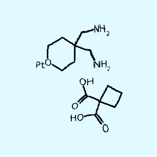 NCC1(CN)CCOCC1.O=C(O)C1(C(=O)O)CCC1.[Pt]